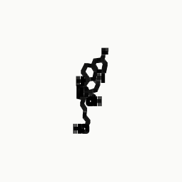 C[C@]12CC[C@@H]3c4ccc(F)cc4CC[C@H]3[C@@H]1CC[C@]2(O)CCCCO